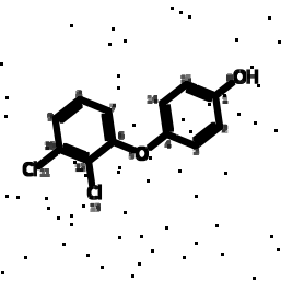 Oc1ccc(Oc2cccc(Cl)c2Cl)cc1